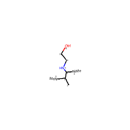 CNC(C)C(NC)NCCO